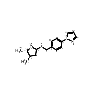 C[C@@H]1CC(SCc2ccc(-n3cccn3)cc2)O[C@H]1C